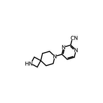 N#Cc1nccc(N2CCC3(CC2)CNC3)n1